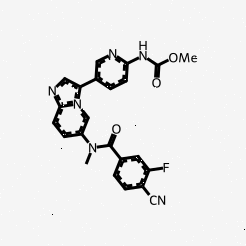 COC(=O)Nc1ccc(-c2cnc3ccc(N(C)C(=O)c4ccc(C#N)c(F)c4)cn23)cn1